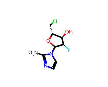 O=[N+]([O-])c1nccn1C1O[C@H](CCl)[C@@H](O)[C@H]1F